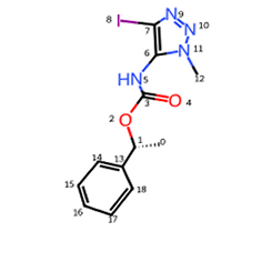 C[C@@H](OC(=O)Nc1c(I)nnn1C)c1ccccc1